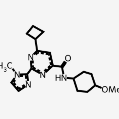 COC1CCC(NC(=O)c2cc(C3CCC3)nc(-c3nccn3C)n2)CC1